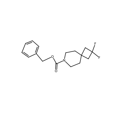 O=C(OCc1ccccc1)N1CCC2(CC1)CC(F)(F)C2